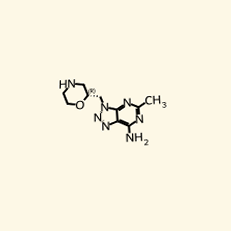 Cc1nc(N)c2nnn(C[C@H]3CNCCO3)c2n1